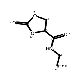 CCCCCCCNC(=O)C1COC(=O)O1